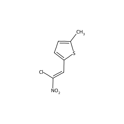 Cc1ccc(C=C(Cl)[N+](=O)[O-])s1